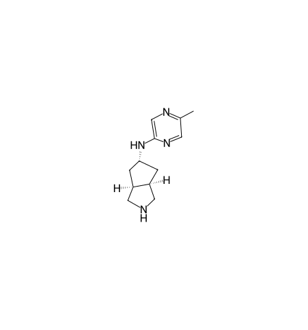 Cc1cnc(N[C@@H]2C[C@H]3CNC[C@H]3C2)cn1